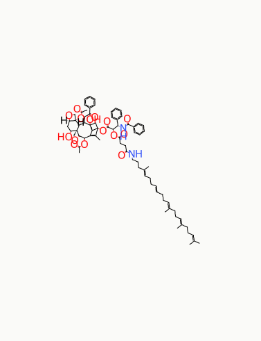 CC(=O)O[C@H]1C(=O)[C@@]2(C)[C@H](C(CC(=O)c3ccccc3)[C@]3(O)CC4(OC(=O)C(OC(=O)CCC(=O)NCCC/C(C)=C/CC/C=C/CC/C=C(\C)CC/C=C(\C)CCC=C(C)C)[C@@H](NC(=O)c5ccccc5)c5ccccc5)C(C)=C1[C@@]43C)[C@]1(OC(C)=O)CO[C@@H]1C[C@@H]2O